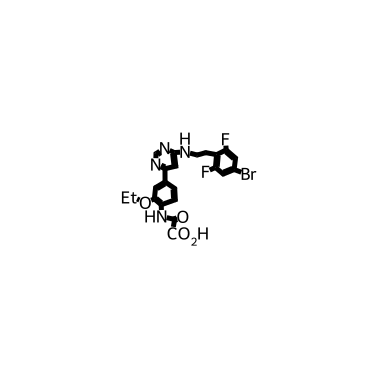 CCOc1cc(-c2cc(NCCc3c(F)cc(Br)cc3F)ncn2)ccc1NC(=O)C(=O)O